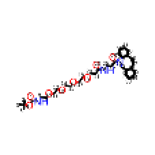 CC(C)(C)OC(=O)NCCOCCOCCOCCOCCC(=O)NCCC(=O)N1Cc2ccccc2C#Cc2ccccc21